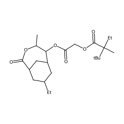 CCC1CC2CC(C1)C(OC(=O)COC(=O)C(C)(CC)C(C)(C)C)C(C)OC2=O